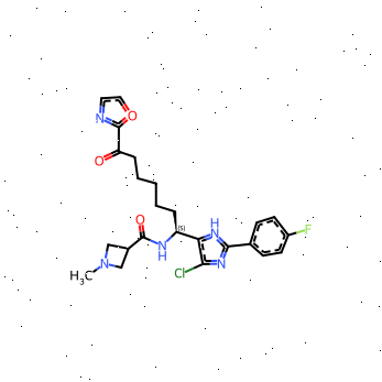 CN1CC(C(=O)N[C@@H](CCCCCC(=O)c2ncco2)c2[nH]c(-c3ccc(F)cc3)nc2Cl)C1